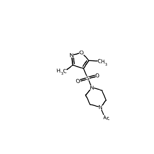 CC(=O)N1CCN(S(=O)(=O)c2c(C)noc2C)CC1